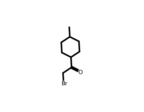 CC1CCC(C(=O)CBr)CC1